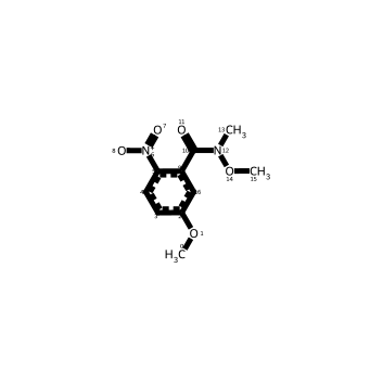 COc1ccc([N+](=O)[O-])c(C(=O)N(C)OC)c1